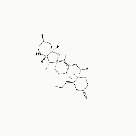 CCC[C@@H]1CC(=O)CC[C@]1(C)[C@H](C)CC1=C(C)[C@]2(CC[C@H]1C)O[C@@H]1C[C@H](C)CN[C@H]1[C@H]2C